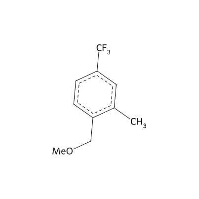 COCc1ccc(C(F)(F)F)cc1C